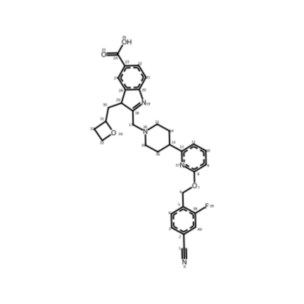 N#Cc1ccc(COc2cccc(C3CCN(CC4=Nc5ccc(C(=O)O)cc5C4CC4CCO4)CC3)n2)c(F)c1